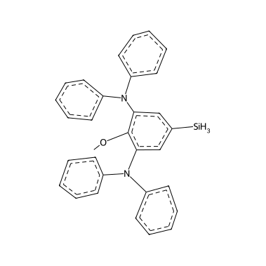 COc1c(N(c2ccccc2)c2ccccc2)cc([SiH3])cc1N(c1ccccc1)c1ccccc1